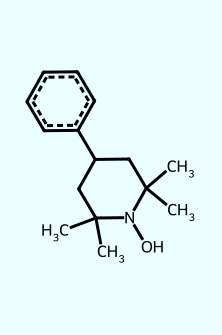 CC1(C)CC(c2ccccc2)CC(C)(C)N1O